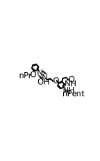 CCCCCNc1ccc(OCCCN2CCN(c3ccccc3OCCC)CC2O)c2c1NC(=O)CC2